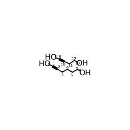 OC#CCCCCO.OC#CCCO